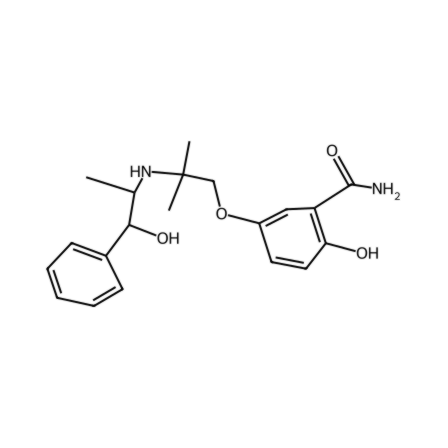 CC(NC(C)(C)COc1ccc(O)c(C(N)=O)c1)C(O)c1ccccc1